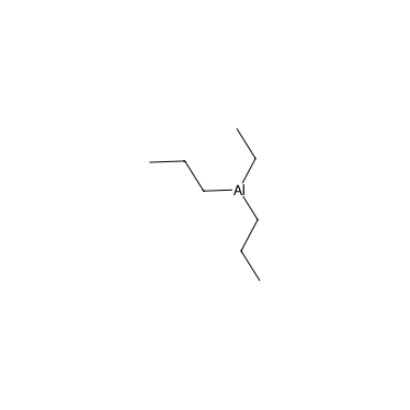 CC[CH2][Al]([CH2]C)[CH2]CC